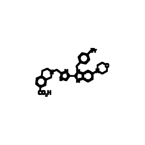 CC(C)c1ccc(Cn2c(-c3csc(CN4CCc5ccc(C(=O)O)cc5C4)n3)nc3ccc(N4CCOCC4)cc32)cc1